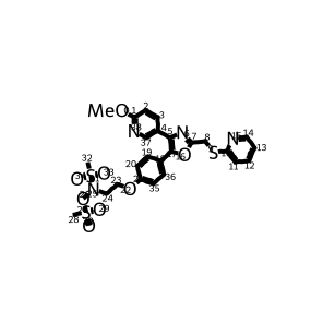 COc1ccc(-c2nc(CSc3ccccn3)oc2-c2ccc(OCCN(OS(C)(=O)=O)S(C)(=O)=O)cc2)cn1